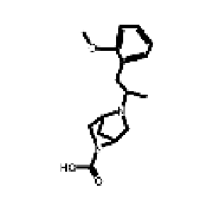 COc1ccccc1CC(C)N1CC2CC1CN2C(=O)O